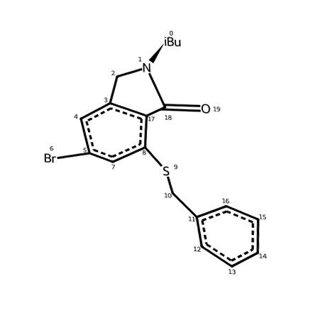 CC[C@H](C)N1Cc2cc(Br)cc(SCc3ccccc3)c2C1=O